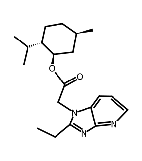 CCc1nc2ncccc2n1CC(=O)O[C@@H]1C[C@H](C)CC[C@H]1C(C)C